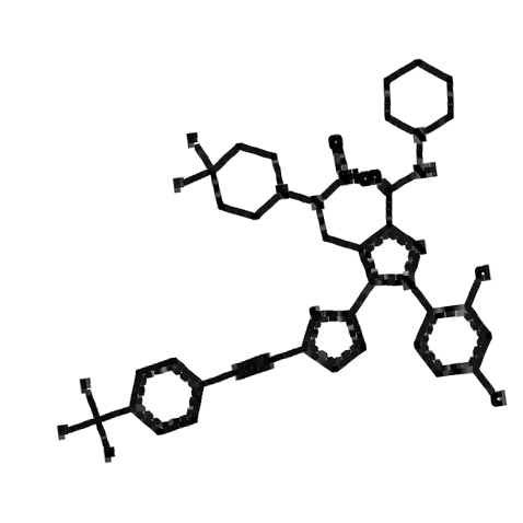 O=C(NN1CCCCC1)c1nn(-c2ccc(Cl)cc2Cl)c(-c2ccc(C#Cc3ccc(C(F)(F)F)cc3)s2)c1CN(N1CCC(F)(F)CC1)[SH](=O)=O